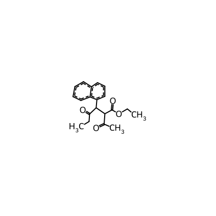 CCOC(=O)C(C(C)=O)C(C(=O)CC)c1cccc2ccccc12